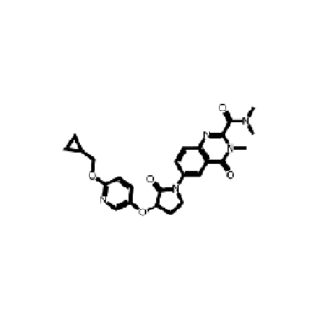 CN(C)C(=O)c1nc2ccc(N3CC[C@@H](Oc4ccc(OCC5CC5)nc4)C3=O)cc2c(=O)n1C